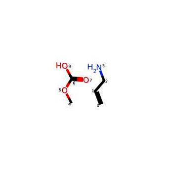 C=CCN.COC(=O)O